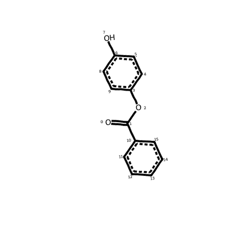 O=C(Oc1c[c]c(O)cc1)c1ccccc1